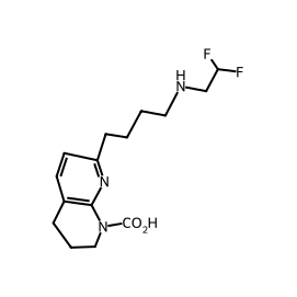 O=C(O)N1CCCc2ccc(CCCCNCC(F)F)nc21